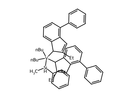 CCC[CH2][V]([CH2]CCC)([CH]1C(CC)=Cc2c(-c3ccccc3)cccc21)([CH]1C(CC)=Cc2c(-c3ccccc3)cccc21)[SiH](C)c1ccccc1